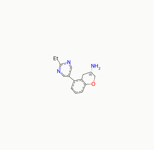 CCc1ncc(-c2cccc3c2C[C@H](N)CO3)cn1